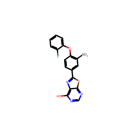 O=[N+]([O-])c1cc(-c2nc3c(O)ncnc3s2)ccc1Oc1ccccc1F